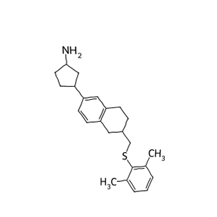 Cc1cccc(C)c1SCC1CCc2cc(C3CCC(N)C3)ccc2C1